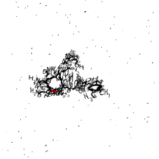 C/C1=C2N=C(/C=C3N=C(/C(C)=C4/[C@@H](CCC(N)=O)[C@](C)(CC(N)=O)[C@](C)([C@@H]5N=C1[C@](C)(CCC(=O)NCC(C)OP(=O)([O-])O[C@H]1[C@@H](O)[C@@H](n6cnc7cc(C)c(C)cc76)O[C@@H]1CO)[C@H]5CC(N)=O)[N]4[Co+][C]#N)[C@@](C)(CC(N)=O)[C@@H]\3CCC(N)=O)C(C)(C)[C@@H]/2CCC(N)=O.Cc1ncc(C[n+]2csc(CCO)c2C)c(N)n1.[Cl-]